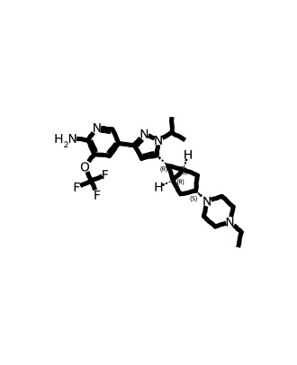 CCN1CCN([C@@H]2C[C@@H]3[C@H](C2)[C@H]3c2cc(-c3cnc(N)c(OC(F)(F)F)c3)nn2C(C)C)CC1